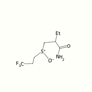 CCC(C[S+]([O-])CCC(F)(F)F)C(N)=O